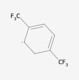 FC(F)(F)C1=CC=C(C(F)(F)F)C[CH]1